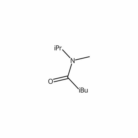 CCC(C)C(=O)N(C)C(C)C